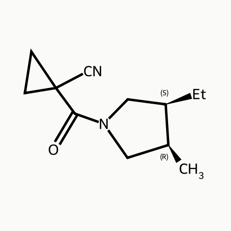 CC[C@@H]1CN(C(=O)C2(C#N)CC2)C[C@@H]1C